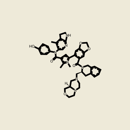 Cc1c(N(C(=O)c2cc(-c3cc4c(cc3C(=O)N3Cc5ccccc5C[C@H]3CN3CCN5CCOC[C@H]5C3)OCO4)n(C)c2C)c2ccc(O)cc2)cnc2c1CCN2